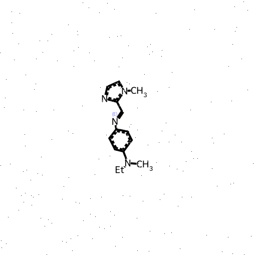 CCN(C)c1ccc(/N=C/c2nccn2C)cc1